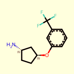 N[C@H]1CC[C@H](Oc2cccc(C(F)(F)F)c2)C1